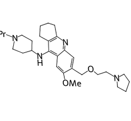 COc1cc2c(NC3CCN(C(C)C)CC3)c3c(nc2cc1COCCN1CCCC1)CCCC3